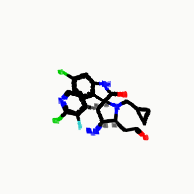 N[C@@H]1[C@H](CC=O)N(CC2CC2)[C@@]2(C(=O)Nc3cc(Cl)ccc32)[C@H]1c1ccnc(Cl)c1F